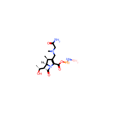 BNPOC(=O)C1=C(CN(C)CC(N)=O)[C@H](C)[C@@H]2[C@@H]([C@@H](C)O)C(=O)N12